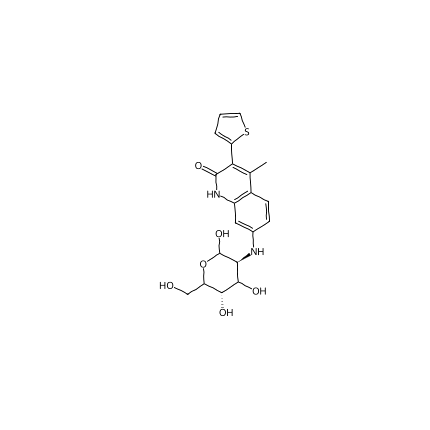 Cc1c(-c2cccs2)c(=O)[nH]c2cc(N[C@@H]3C(O)OC(CO)[C@@H](O)C3O)ccc12